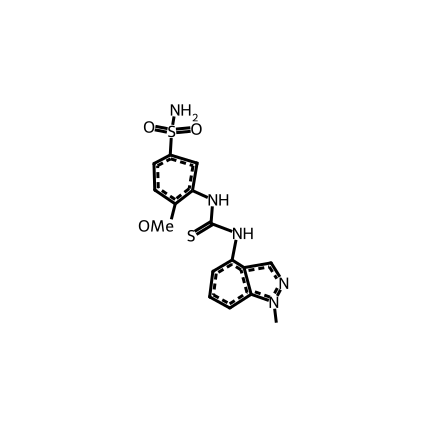 COc1ccc(S(N)(=O)=O)cc1NC(=S)Nc1cccc2c1cnn2C